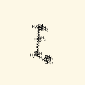 CC1(C)CC(CCCCCC(N)NC(=O)CCCCCCCCC(=O)NC(N)CCCCCC2CC(C)(C)NC(C)(C)C2)CC(C)(C)N1